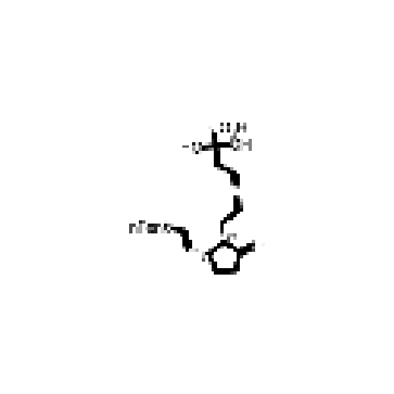 CCCCCC=C[C@H]1CCC(=O)[C@@H]1CC=C=CCC(O)(O)C(=O)O